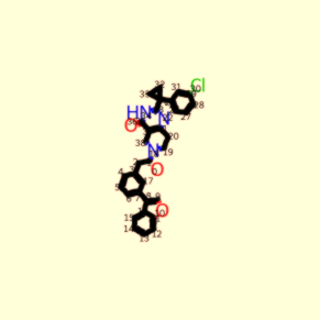 O=C(Cc1cccc(-c2coc3ccccc23)c1)N1CCc2nc(C3(c4cccc(Cl)c4)CC3)[nH]c(=O)c2C1